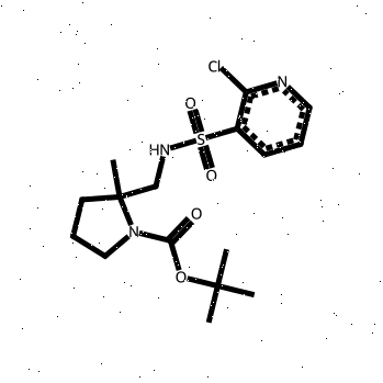 CC(C)(C)OC(=O)N1CCCC1(C)CNS(=O)(=O)c1cccnc1Cl